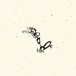 O=S(=O)(c1ccc(-c2c[nH]c3cc(F)ccc23)cc1)N1CCNCC1CO